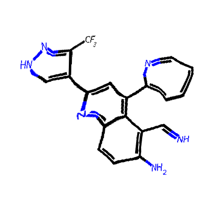 N=Cc1c(N)ccc2nc(-c3c[nH]nc3C(F)(F)F)cc(-c3ccccn3)c12